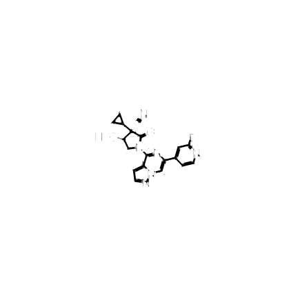 C[C@@H]1CN(c2nc(-c3ccnc(F)c3)cn3nccc23)C(=O)[C@]1(C#N)C1CC1